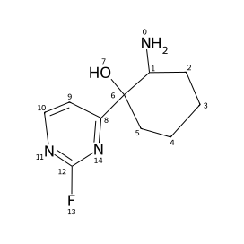 NC1CCCCC1(O)c1ccnc(F)n1